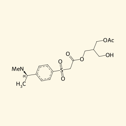 CN[C@H](C)c1ccc(S(=O)(=O)CC(=O)OCC(CO)COC(C)=O)cc1